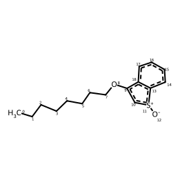 CCCCCCCCOc1c[s+]([O-])c2ccccc12